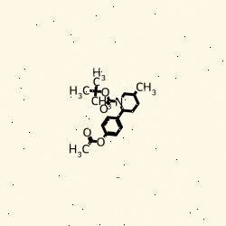 CC(=O)Oc1ccc(C2CCC(C)CN2C(=O)OC(C)(C)C)cc1